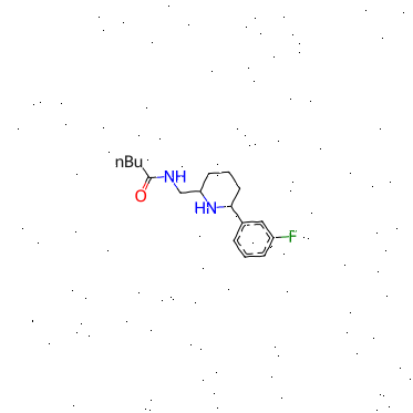 CCCCC(=O)NCC1CCCC(c2cccc(F)c2)N1